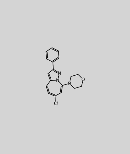 ClC1=C=Cc2cc(-c3ccccc3)nn2C(N2CCOCC2)=C1